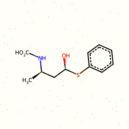 C[C@H](C[C@@H](O)Sc1ccccc1)NC(=O)O